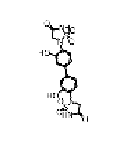 O=C1CN(c2ccc(-c3ccc(N4CC(=O)NS4(=O)=O)c(O)c3)cc2O)S(=O)(=O)N1